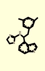 Cc1cc(C)cc(CC(NC2=NCCS2)c2cccc3sccc23)c1